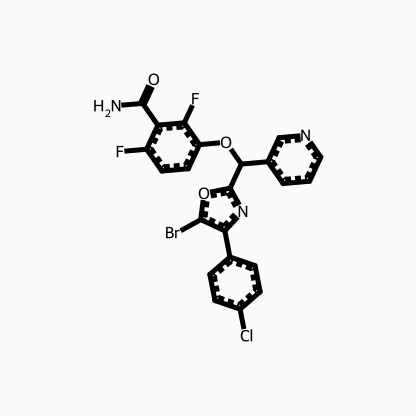 NC(=O)c1c(F)ccc(OC(c2cccnc2)c2nc(-c3ccc(Cl)cc3)c(Br)o2)c1F